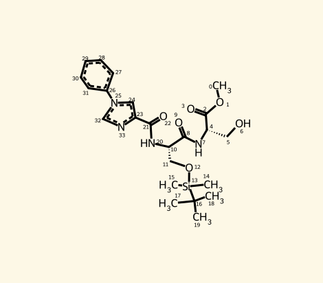 COC(=O)[C@H](CO)NC(=O)[C@H](CO[Si](C)(C)C(C)(C)C)NC(=O)c1cn(-c2ccccc2)cn1